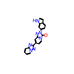 O=c1n(-c2ccc3cc[nH]c3c2)nc2cc(-c3nc4ccccn4n3)ccn12